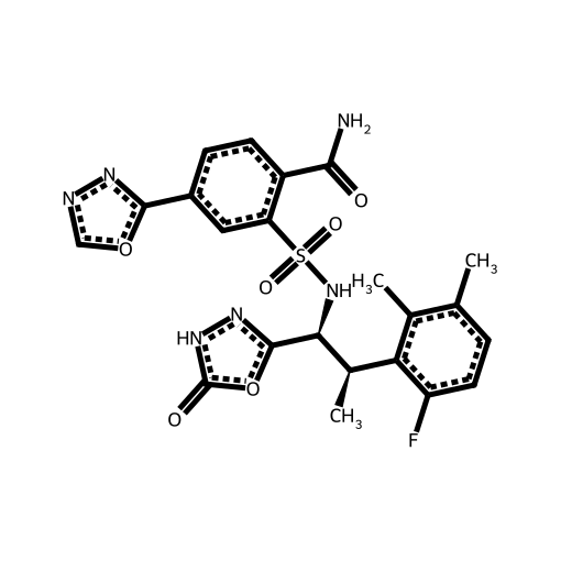 Cc1ccc(F)c([C@@H](C)[C@H](NS(=O)(=O)c2cc(-c3nnco3)ccc2C(N)=O)c2n[nH]c(=O)o2)c1C